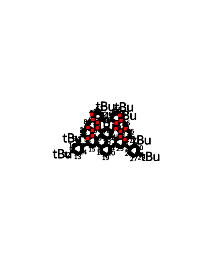 CC(C)(C)c1ccc(-c2cc(-c3ccc(C(C)(C)C)cc3)cc(-c3cccc(-c4cc(-c5ccc(C(C)(C)C)cc5)cc(-c5ccc(C(C)(C)C)cc5)c4)c3-c3cc4c5c(c3)N(c3ccc(C(C)(C)C)cc3)c3ccc(C(C)(C)C)cc3B5c3cc(C(C)(C)C)ccc3N4c3ccc(C(C)(C)C)cc3)c2)cc1